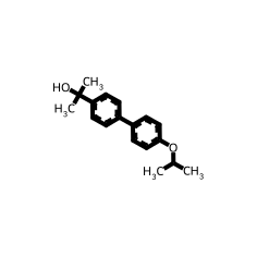 CC(C)Oc1ccc(-c2ccc(C(C)(C)O)cc2)cc1